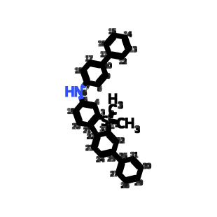 C[Si]1(C)c2cc(Nc3ccc(-c4ccccc4)cc3)ccc2-c2ccc(-c3ccccc3)cc21